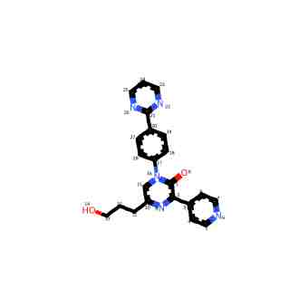 O=c1c(-c2ccncc2)nc(CCCO)cn1-c1ccc(-c2ncccn2)cc1